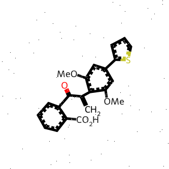 C=C(C(=O)c1ccccc1C(=O)O)c1c(OC)cc(-c2cccs2)cc1OC